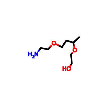 CC(CCOCCN)OCCO